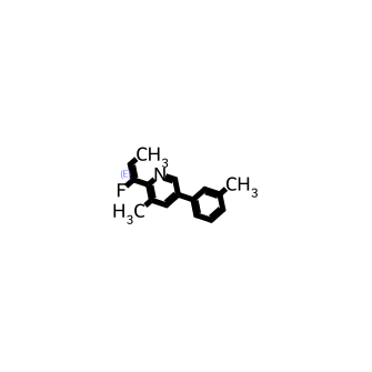 C/C=C(/F)c1ncc(-c2cccc(C)c2)cc1C